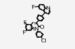 O=C(Nc1ccc(Cl)cc1)[C@H](Cc1ccc(F)cc1F)c1ccc(-c2ccnc3ccc(F)cc23)cc1